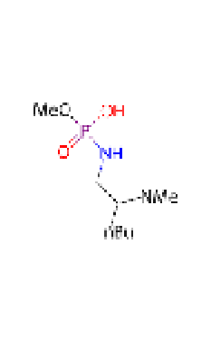 CCCCC(CNP(=O)(O)OC)NC